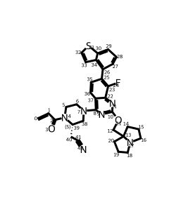 C=CC(=O)N1CCN(c2nc(OCC34CCCN3CCC4)nc3c(F)c(-c4cccc5sccc45)ccc23)C[C@@H]1CC#N